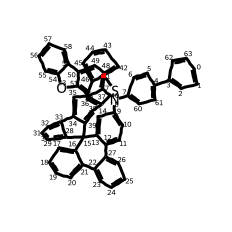 c1ccc(-c2ccc(N(c3ccc4c(c3)C3(c5ccccc5-c5ccccc5-4)c4ccccc4-c4cc5c(cc43)sc3ccccc35)c3ccc4c(c3)oc3ccccc34)cc2)cc1